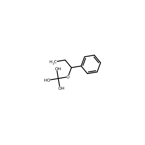 CCC(OC(O)(O)O)c1ccccc1